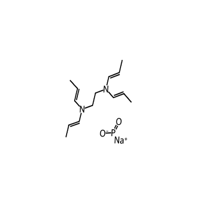 CC=CN(C=CC)CCN(C=CC)C=CC.O=P[O-].[Na+]